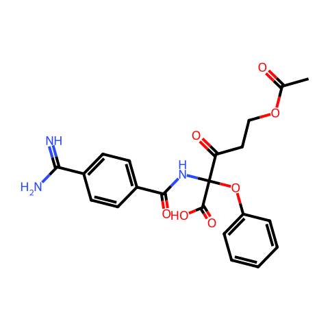 CC(=O)OCCC(=O)C(NC(=O)c1ccc(C(=N)N)cc1)(Oc1ccccc1)C(=O)O